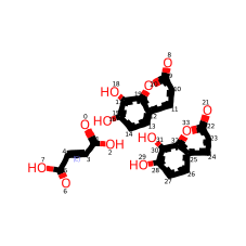 O=C(O)/C=C/C(=O)O.O=c1ccc2ccc(O)c(O)c2o1.O=c1ccc2ccc(O)c(O)c2o1